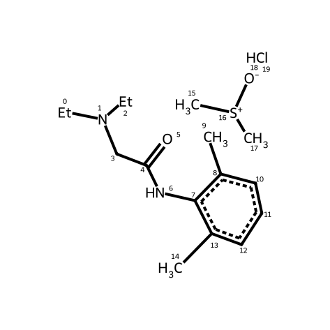 CCN(CC)CC(=O)Nc1c(C)cccc1C.C[S+](C)[O-].Cl